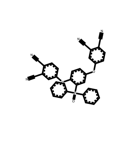 N#Cc1ccc(Oc2ccc(Oc3ccc(C#N)c(C#N)c3)c(P(=O)(c3ccccc3)c3ccccc3)c2)cc1C#N